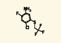 Nc1cc(SCC(F)(F)F)c(Cl)cc1F